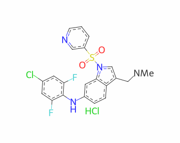 CNCc1cn(S(=O)(=O)c2cccnc2)c2cc(Nc3c(F)cc(Cl)cc3F)ccc12.Cl